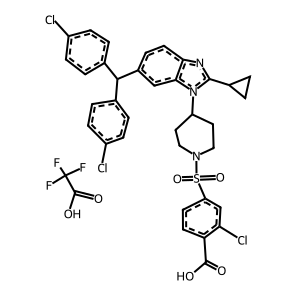 O=C(O)C(F)(F)F.O=C(O)c1ccc(S(=O)(=O)N2CCC(n3c(C4CC4)nc4ccc(C(c5ccc(Cl)cc5)c5ccc(Cl)cc5)cc43)CC2)cc1Cl